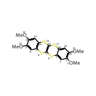 COc1cc2sc3sc4cc(OC)c(OC)cc4sc=3sc2cc1OC